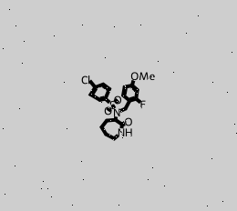 COc1ccc(CN(C2CCCCNC2=O)S(=O)(=O)c2ccc(Cl)cc2)c(F)c1